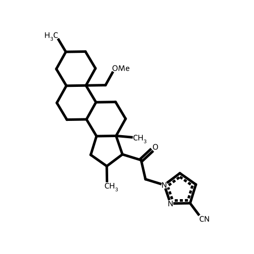 COCC12CCC(C)CC1CCC1C3CC(C)C(C(=O)Cn4ccc(C#N)n4)C3(C)CCC12